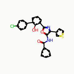 O=C(Nc1oc(-c2cccc(-c3ccc(Cl)cc3)c2O)nc1-c1ccsc1)c1ccccc1